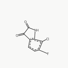 O=C1Nc2c(ccc(F)c2Cl)C1=O